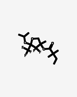 CCC(C)(C)C(=O)OC1(C)COC(OC(C)C)(C(F)(F)F)C1(F)F